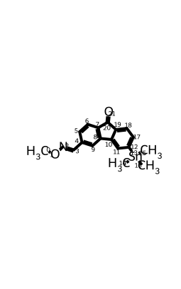 CO/N=C/c1ccc2c(c1)-c1c[c]([Sn]([CH3])([CH3])[CH3])ccc1C2=O